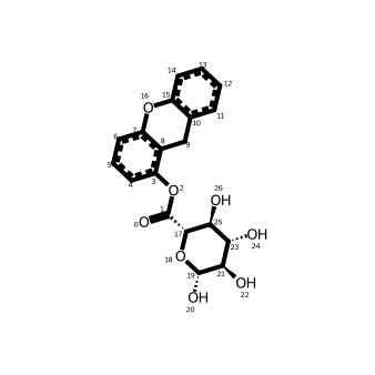 O=C(Oc1cccc2c1Cc1ccccc1O2)[C@H]1O[C@@H](O)[C@H](O)[C@@H](O)[C@@H]1O